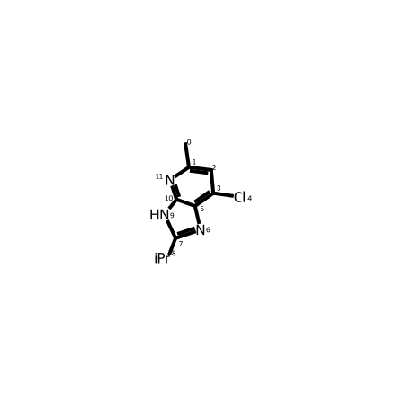 Cc1cc(Cl)c2nc(C(C)C)[nH]c2n1